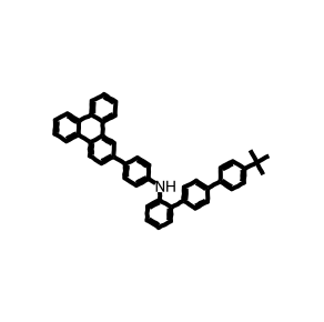 CC(C)(C)c1ccc(-c2ccc(-c3ccccc3Nc3ccc(-c4ccc5c6ccccc6c6ccccc6c5c4)cc3)cc2)cc1